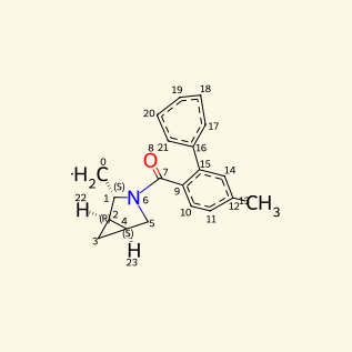 [CH2][C@H]1[C@@H]2C[C@@H]2CN1C(=O)c1ccc(C)cc1-c1ccccc1